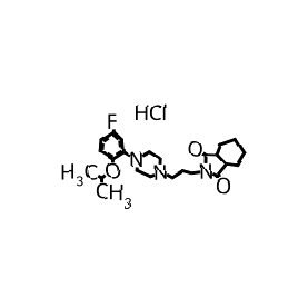 CC(C)Oc1ccc(F)cc1N1CCN(CCCN2C(=O)C3CCCCC3C2=O)CC1.Cl